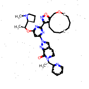 C[C@H](Oc1cc(-n2cc3ccn([C@@H](C)c4ccccn4)c(=O)c3n2)nc(-c2noc3c2CCCCCCCCOC3)n1)[C@@H]1CCCN1C